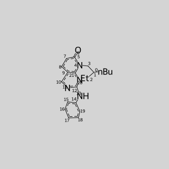 CCCCC(CC)Cn1c(=O)ccc2cnc(Nc3ccccc3)nc21